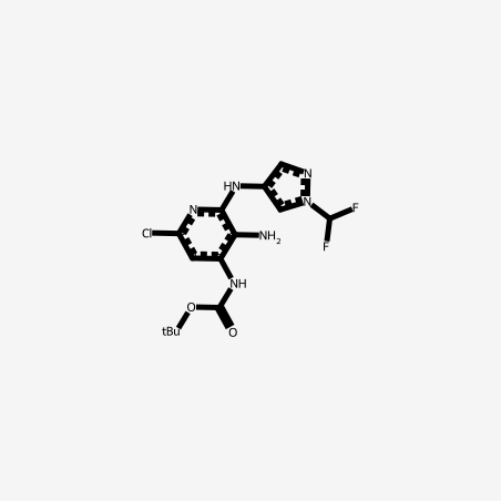 CC(C)(C)OC(=O)Nc1cc(Cl)nc(Nc2cnn(C(F)F)c2)c1N